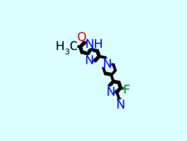 Cc1cc2ncc(CN3CC=C(c4cnc(C#N)c(F)c4)CC3)cc2[nH]c1=O